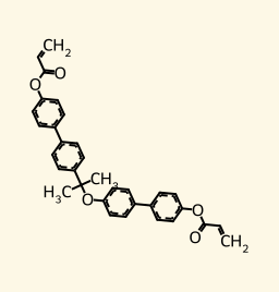 C=CC(=O)Oc1ccc(-c2ccc(OC(C)(C)c3ccc(-c4ccc(OC(=O)C=C)cc4)cc3)cc2)cc1